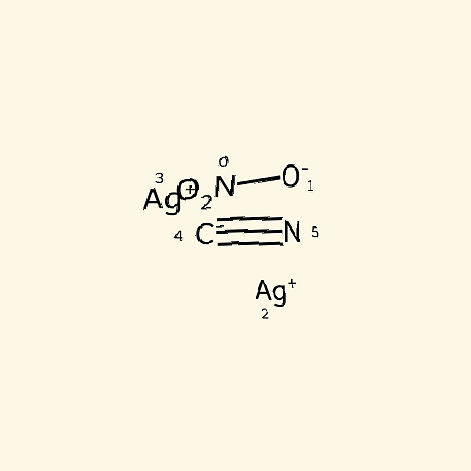 O=[N+]([O-])[O-].[Ag+].[Ag+].[C-]#N